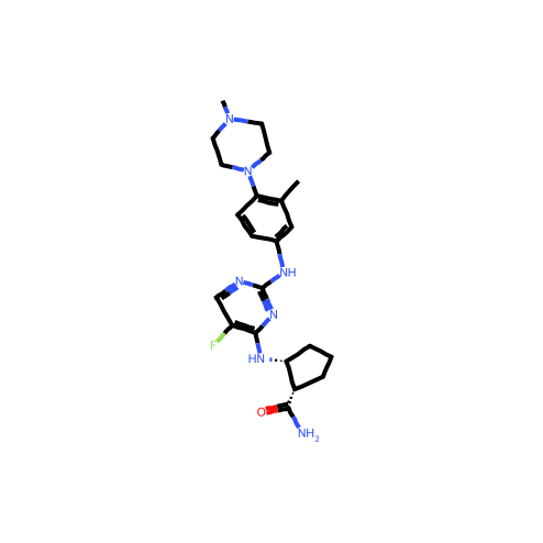 Cc1cc(Nc2ncc(F)c(N[C@@H]3CCC[C@@H]3C(N)=O)n2)ccc1N1CCN(C)CC1